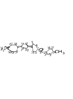 CC1C=CC(COC2CCC(C3=CCC(C4CCC(C)CC4)C=C3)CC2)CC1